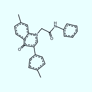 Cc1ccc(-c2cn(CC(=O)Nc3ccccc3)c3cc(C)ccc3c2=O)cc1